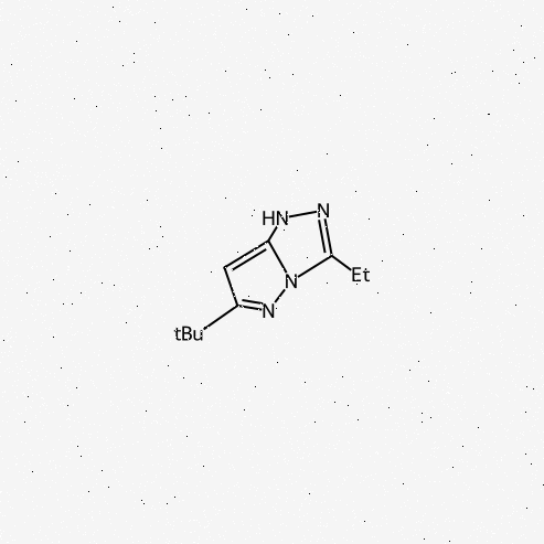 CCc1n[nH]c2cc(C(C)(C)C)nn12